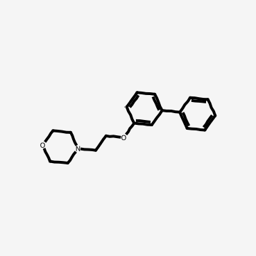 [c]1ccc(-c2ccccc2)cc1OCCN1CCOCC1